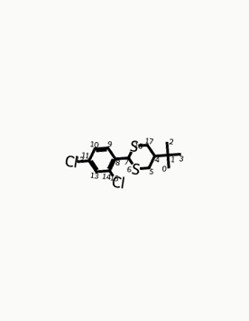 CC(C)(C)C1CSC(c2ccc(Cl)cc2Cl)SC1